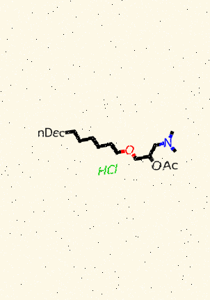 CCCCCCCCCCCCCCCCOCC(CN(C)C)OC(C)=O.Cl